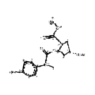 CC(=O)N[C@@H]1C[C@@H](C(=O)N(C)c2ccc(F)cc2)N(C(=O)OC(C)(C)C)C1